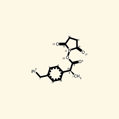 CC(C)Cc1ccc([C@H](C)C(=O)ON2C(=O)CCC2=O)cc1